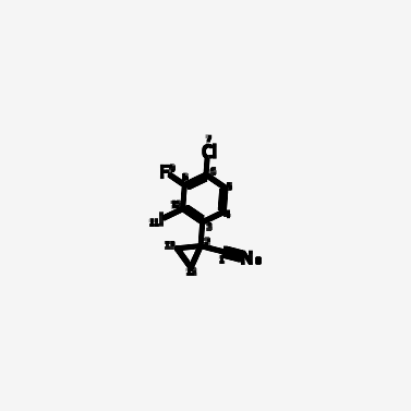 N#CC1(c2ccc(Cl)c(F)c2I)CC1